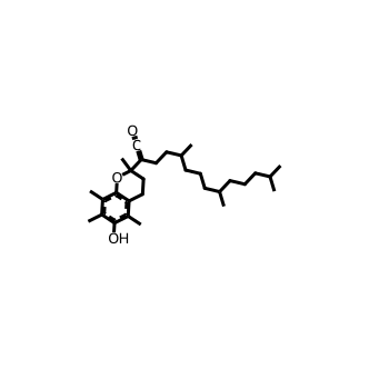 Cc1c(C)c2c(c(C)c1O)CCC(C)(C(=C=O)CCC(C)CCCC(C)CCCC(C)C)O2